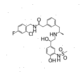 C[C@H](Cc1cccc(CC(=O)NCc2ccc(F)cc2Cl)c1)NC[C@H](O)c1ccc(O)c(NS(C)(=O)=O)c1